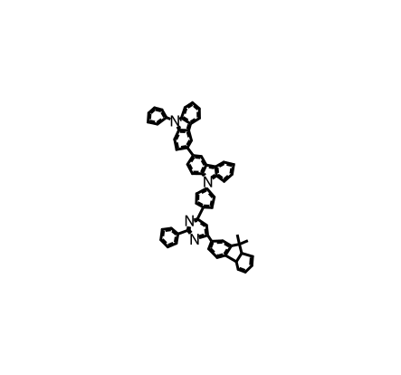 CC1(C)c2cc(-c3cc(-c4ccc(-n5c6ccccc6c6cc(-c7ccc8c(c7)c7ccccc7n8-c7ccccc7)ccc65)cc4)nc(-c4ccccc4)n3)ccc2C2C=CC=CC21